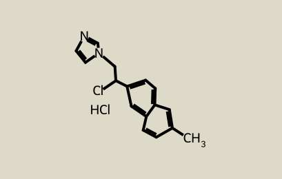 Cc1ccc2cc(C(Cl)Cn3ccnc3)ccc2c1.Cl